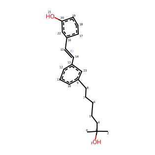 CC(C)(O)CCCCCc1cccc(/C=C/c2cccc(O)c2)c1